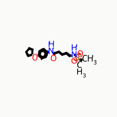 CC(C)S(=O)(=O)NCCCCC(=O)Nc1ccc(OC2CCCC2)cc1